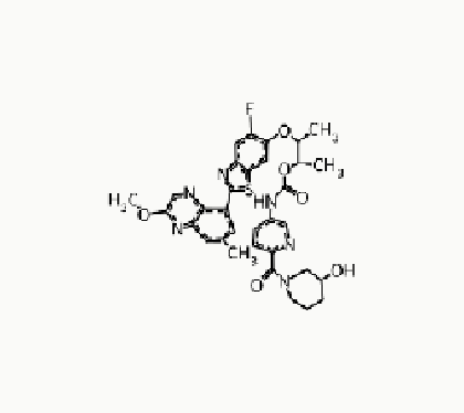 COc1cnc2c(-c3nc4cc(F)c(O[C@@H](C)[C@@H](C)OC(=O)Nc5ccc(C(=O)N6CCC[C@H](O)C6)nc5)cc4s3)cc(C)cc2n1